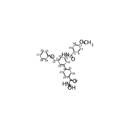 COc1ccc(C(=O)Nc2cc(COc3ccccc3)cc(-c3ccc(C(=O)NO)cc3)c2)cc1